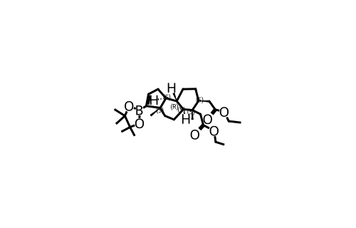 CCOC(=O)C[C@@H]1CC[C@@H]2[C@H](CC[C@]3(C)C(B4OC(C)(C)C(C)(C)O4)=CC[C@@H]23)[C@@]1(C)CC(=O)OCC